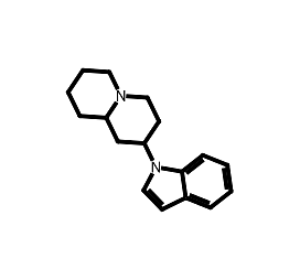 c1ccc2c(c1)ccn2C1CCN2CCCCC2C1